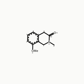 COc1c[c]cc2c1CN(C)C(=O)C2